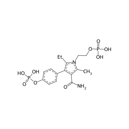 CCc1c(-c2ccc(OP(=O)(O)O)cc2)c(C(N)=O)c(C)n1CCOP(=O)(O)O